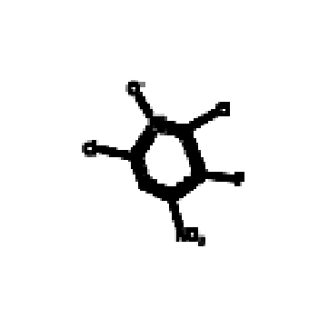 O=[N+]([O-])c1cc(Cl)[n+]([O-])c(Cl)c1F